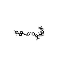 O=C1CCC(c2cccc3c(C#CCN4CCN(C[C@H]5CC[C@@H](n6cc(NC(=O)c7cnn8ccc(N9C[C@H]%10C[C@@H]9CO%10)nc78)c(C(F)F)n6)CC5)CC4)cccc23)C(=O)N1